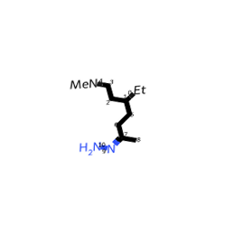 CCC(CCNC)CC/C(C)=N\N